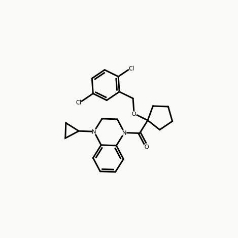 O=C(N1CCN(C2CC2)c2ccccc21)C1(OCc2cc(Cl)ccc2Cl)CCCC1